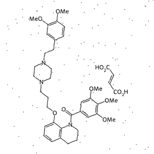 COc1ccc(CCN2CCN(CCCOc3cccc4c3N(C(=O)c3cc(OC)c(OC)c(OC)c3)CCC4)CC2)cc1OC.O=C(O)/C=C/C(=O)O